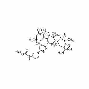 CC1(C)CC2C3=C(c4ccc(N5CCC(NC(=O)OC(C)(C)C)C5)nc4)CC4C5(C)Cc6c(n[nH]c6N)C(C)(C)C5CCC4(C)C3(C)CCC2[C@H](C(=O)O)C1